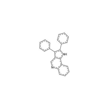 c1ccc(-c2[nH]c3c(cnc4ccccc43)c2-c2ccccc2)cc1